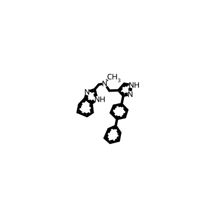 CN(Cc1nc2ccccc2[nH]1)Cc1c[nH]nc1-c1ccc(-c2ccccc2)cc1